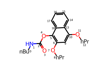 CCCCNC(=O)Oc1c(OCCC)cc(OCCC)c2ccccc12